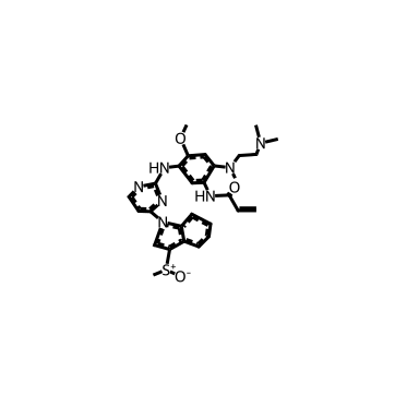 C=CC(=O)Nc1cc(Nc2nccc(-n3cc([S+](C)[O-])c4ccccc43)n2)c(OC)cc1N(C)CCN(C)C